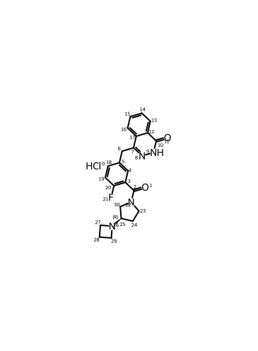 Cl.O=C(c1cc(Cc2n[nH]c(=O)c3ccccc23)ccc1F)N1CC[C@@H](N2CCC2)C1